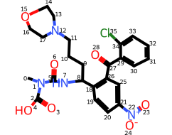 CN(C(=O)O)C(=O)NC(CCCN1CCOCC1)c1ccc([N+](=O)[O-])cc1C(=O)c1ccccc1Cl